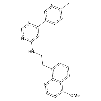 COc1ccnc2c(CCNc3cc(-c4ccc(C)nc4)ncn3)cccc12